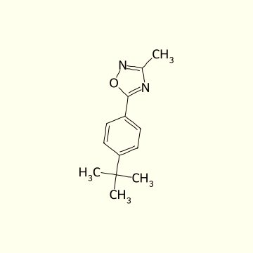 Cc1noc(-c2ccc(C(C)(C)C)cc2)n1